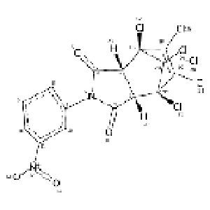 O=C1[C@@H]2[C@H](C(=O)N1c1cccc([N+](=O)[O-])c1)[C@]1(Cl)C(Cl)=C(Cl)[C@@]2(Cl)C1(Cl)Cl